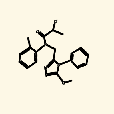 COc1nnc(CN(C(=O)C(C)Cl)c2ccccc2C)n1-c1ccccc1